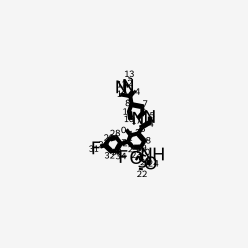 CC1C(c2cnc3cc(-c4cnn(C)c4)ccn23)=CC(NS(C)(=O)=O)=CC1c1ccc(F)cc1F